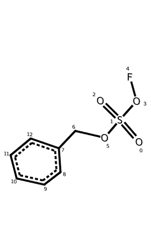 O=S(=O)(OF)OCc1ccccc1